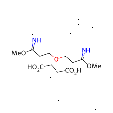 COC(=N)CCOCCC(=N)OC.O=C(O)CCC(=O)O